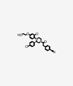 N#Cc1ccc(CC(=O)N2CCN(c3ccc(OCCO)cc3Cl)[C@H](c3ccc(Cl)cc3)C2)cc1